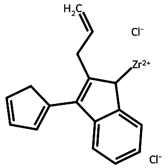 C=CCC1=C(C2=CC=CC2)c2ccccc2[CH]1[Zr+2].[Cl-].[Cl-]